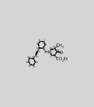 CCOC(=O)c1cn(Cc2ccccc2C#Cc2ccccc2)cc(C)c1=O